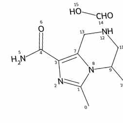 Cc1nc(C(N)=O)c2n1C(C)CNC2.O=CO